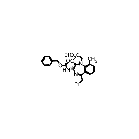 CCOC(=O)CN1C(=O)[C@@H](NC(=O)OCc2ccccc2)N=C(CC(C)C)c2cccc(C)c21